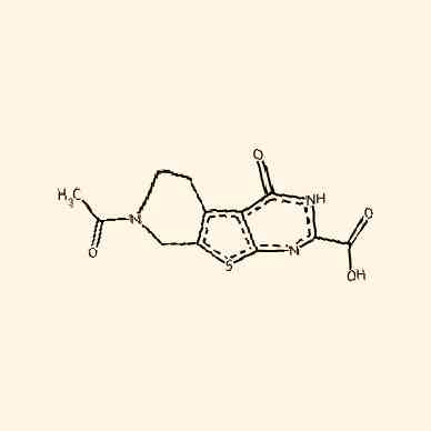 CC(=O)N1CCc2c(sc3nc(C(=O)O)[nH]c(=O)c23)C1